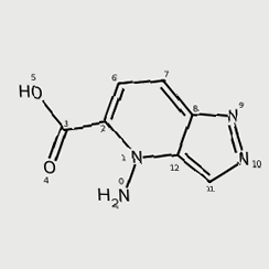 Nn1c(C(=O)O)ccc2nncc1-2